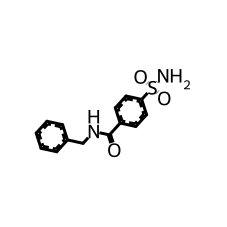 NS(=O)(=O)c1ccc(C(=O)NCc2ccccc2)cc1